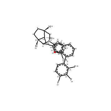 Cc1nsc(N2C[C@H]3CC[C@@H](C2)[C@@H]3Nc2nc3c(-c4ccc(F)c(F)c4F)cccn3n2)n1